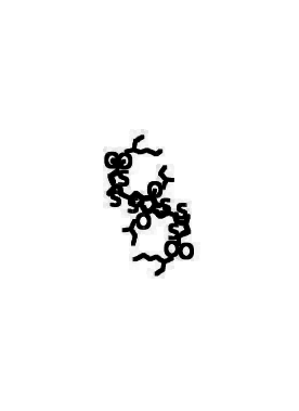 CCCCC(CC)COC(=O)c1cc2csc(-c3cc4c(OCC(C)CC)c5sc(-c6scc7cc(C(=O)OCC(CC)CCCC)sc67)cc5c(OCC(C)CC)c4s3)c2s1